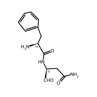 NC(=O)C[C@@H]([C]=O)NC(=O)[C@@H](N)Cc1ccccc1